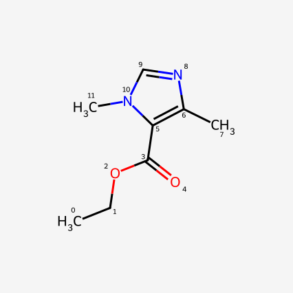 CCOC(=O)c1c(C)ncn1C